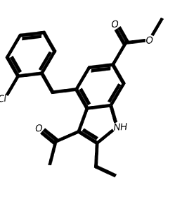 CCc1[nH]c2cc(C(=O)OC)cc(Cc3ccccc3Cl)c2c1C(C)=O